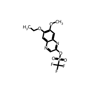 CCOc1cc2ncc(OS(=O)(=O)C(F)(F)F)nc2cc1OC